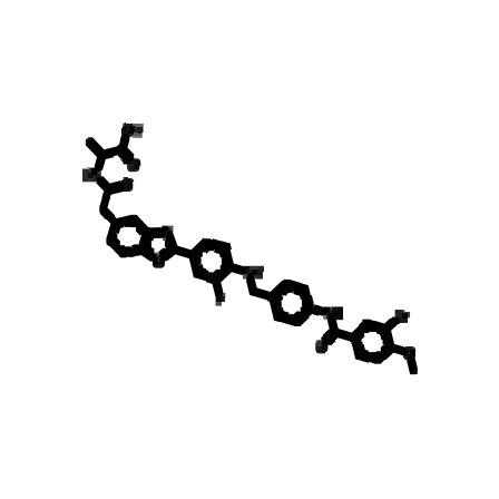 COc1ccc(C(=O)Nc2ccc(CNc3ccc(-c4nc5cc(CC(=O)NC(C)C(=O)O)ccc5o4)cc3F)cc2)cc1Br